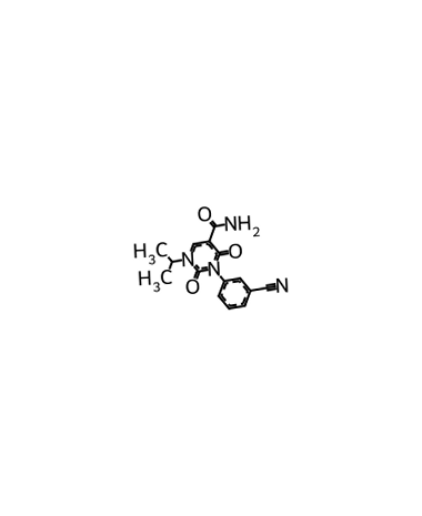 CC(C)n1cc(C(N)=O)c(=O)n(-c2cccc(C#N)c2)c1=O